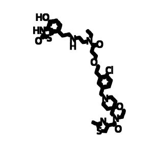 CCN(CCNCCc1ccc(O)c2[nH]c(=O)sc12)C(=O)CCOCCc1cc(CN2CCC3(CC2)CN(C(=O)C2CSC(C)=N2)CCO3)ccc1Cl